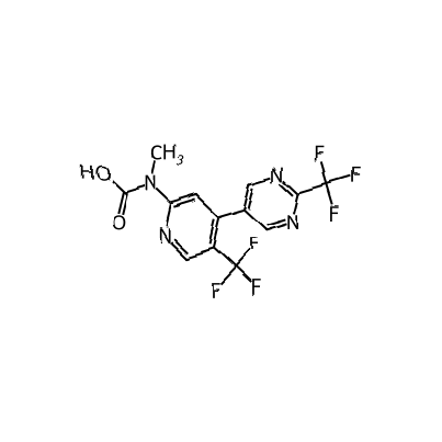 CN(C(=O)O)c1cc(-c2cnc(C(F)(F)F)nc2)c(C(F)(F)F)cn1